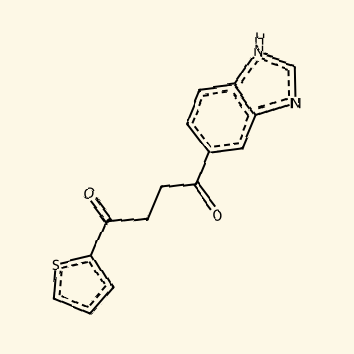 O=C(CCC(=O)c1cccs1)c1ccc2[nH]cnc2c1